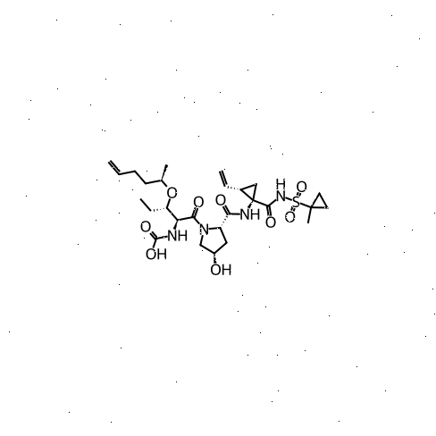 C=CCC[C@@H](C)O[C@@H](CC)[C@H](NC(=O)O)C(=O)N1C[C@H](O)C[C@H]1C(=O)N[C@]1(C(=O)NS(=O)(=O)C2(C)CC2)C[C@H]1C=C